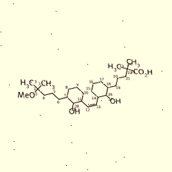 COC(C)(C)CCCC1CCCC(/C=C\C2CCCC(CCCC(C)(C)C(=O)O)C2O)C1O